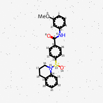 COc1cccc(NC(=O)c2ccc([S+]([O-])N3CCCc4ccccc43)cc2)c1